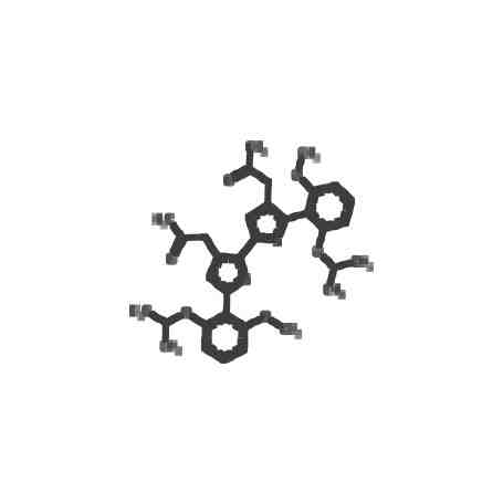 COc1cccc(OC(C)C)c1-c1cc(CC(C)=O)c(-c2cc(CC(C)=O)c(-c3c(OC)cccc3OC(C)C)s2)s1